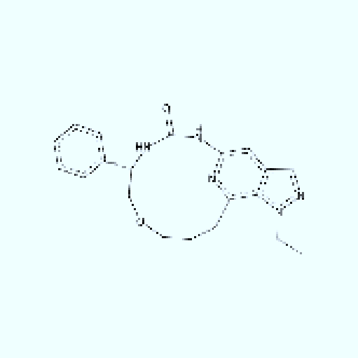 CCn1ncc2cc3nc(c21)CCCOC[C@H](c1ccccc1)NC(=O)N3